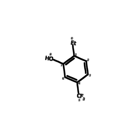 CCc1ccc(C(F)(F)F)cc1O